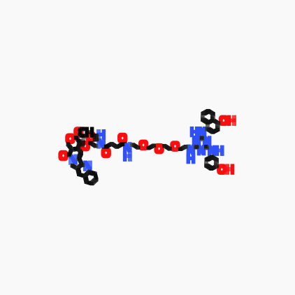 CC[C@@]1(OC(=O)CNC(=O)CCC(=O)NCCOCCOCCOCCNc2nc(Nc3cccc(O)c3)nc(Nc3ccc(O)c4ccccc34)n2)C(=O)OCc2c1cc1n(c2=O)Cc2cc3ccccc3nc2-1